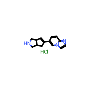 C1=C(c2ccc3nccn3c2)CC2CNCC12.Cl